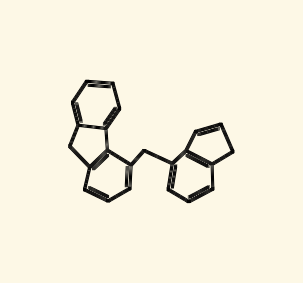 C1=Cc2c(cccc2Cc2cccc3c2-c2ccccc2C3)C1